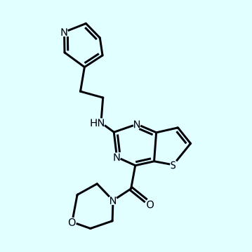 O=C(c1nc(NCCc2cccnc2)nc2ccsc12)N1CCOCC1